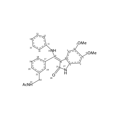 COc1cc2c(cc1OC)C(=C(Nc1ccccc1)c1cccc(CNC(C)=O)c1)C(=O)N2